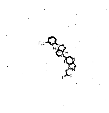 FC(F)Cn1ncc2ncc(N3CC[C@H]4[C@@H]3CCN4c3cccc(C(F)(F)F)n3)nc21